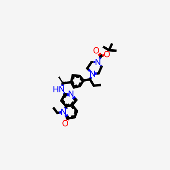 CCC(c1ccc([C@H](C)Nc2cc3c(ccc(=O)n3CC)cn2)cc1)N1CCN(C(=O)OC(C)(C)C)CC1